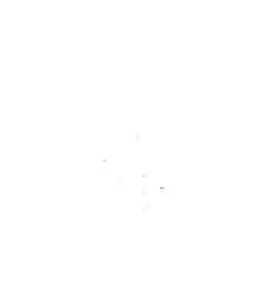 Cc1c(C(=O)O)c2ccc(F)cc2n1[C@H](C)C1CCC(N2CC(OC(F)F)C2)CC1